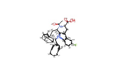 CC(=O)N1C(C(=O)O)Cc2c(n(Cc3ccccc3)c3ccc(F)cc23)C1CC12CC3CC(CC(C3)C1)C2